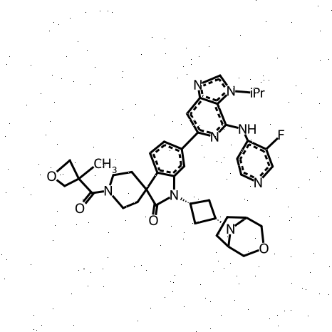 CC(C)n1cnc2cc(-c3ccc4c(c3)N([C@H]3C[C@@H](N5C6CCC5COC6)C3)C(=O)C43CCN(C(=O)C4(C)COC4)CC3)nc(Nc3ccncc3F)c21